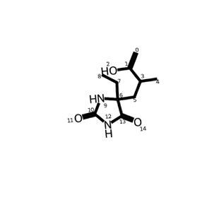 C=C(O)C(C)CC1(CC)NC(=O)NC1=O